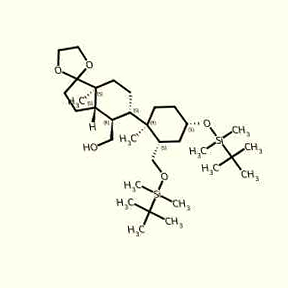 CC(C)(C)[Si](C)(C)OC[C@H]1C[C@@H](O[Si](C)(C)C(C)(C)C)CC[C@]1(C)[C@H]1CC[C@@]2(C)[C@@H](CCC23OCCO3)[C@@H]1CO